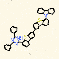 c1ccc(C2=NC(c3cccc4c3sc3cc(-c5ccc6sc7c(-n8c9ccccc9c9ccccc98)cccc7c6c5)ccc34)NC(c3ccccc3)=N2)cc1